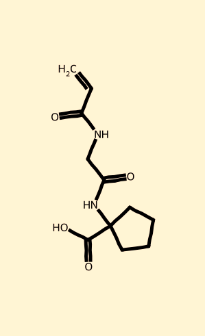 C=CC(=O)NCC(=O)NC1(C(=O)O)CCCC1